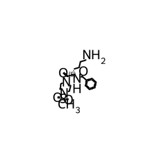 CS(=O)(=O)N1CCN(C(=O)[C@H](CCCCN)NC(=O)c2ccccc2)CC1